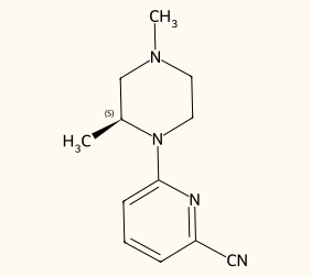 C[C@H]1CN(C)CCN1c1cccc(C#N)n1